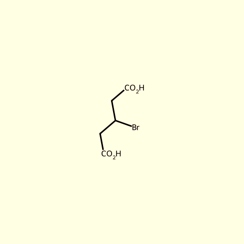 O=C(O)CC(Br)CC(=O)O